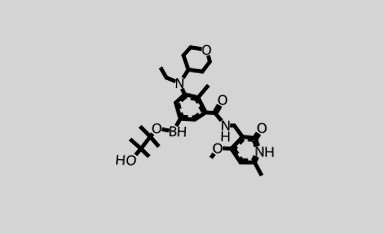 CCN(c1cc(BOC(C)(C)C(C)(C)O)cc(C(=O)NCc2c(OC)cc(C)[nH]c2=O)c1C)C1CCOCC1